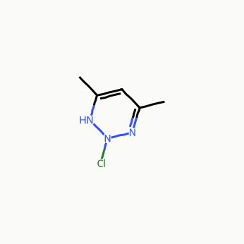 CC1=CC(C)=NN(Cl)N1